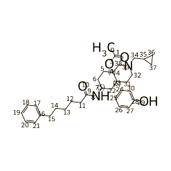 CC(=O)O[C@]12CC[C@H](NC(=O)CCCCCc3ccccc3)C[C@]1(c1cccc(O)c1)CCN(CC1CC1)C2